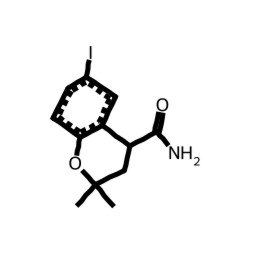 CC1(C)CC(C(N)=O)c2cc(I)ccc2O1